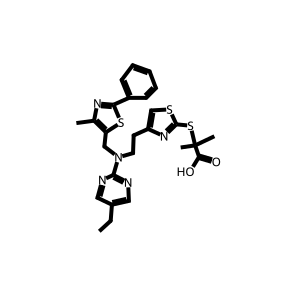 CCc1cnc(N(CCc2csc(SC(C)(C)C(=O)O)n2)Cc2sc(-c3ccccc3)nc2C)nc1